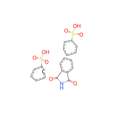 O=C1NC(=O)c2ccccc21.O=S(=O)(O)c1ccccc1.O=S(=O)(O)c1ccccc1